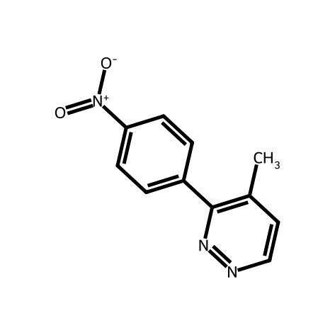 Cc1ccnnc1-c1ccc([N+](=O)[O-])cc1